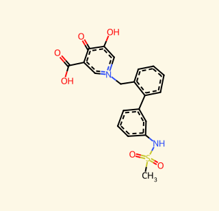 CS(=O)(=O)Nc1cccc(-c2ccccc2Cn2cc(O)c(=O)c(C(=O)O)c2)c1